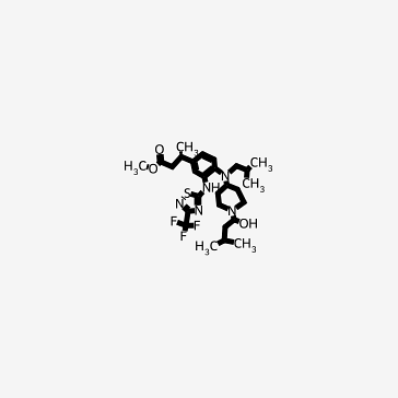 COC(=O)C[C@@H](C)c1ccc(N(CC(C)C)C2CCN(C(O)CC(C)C)CC2)c(Nc2nc(C(F)(F)F)ns2)c1